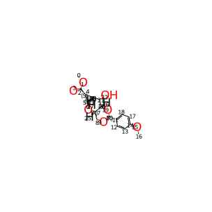 COC(=O)[C@@H]1[C@H]2O[C@@H]3CO[C@@H](c4ccc(OC)cc4)O[C@H]3C(O)[C@H]21